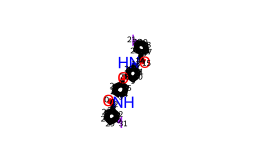 O=C(Nc1ccc(Oc2cccc(NC(=O)c3cccc(I)c3)c2)cc1)c1cccc(I)c1